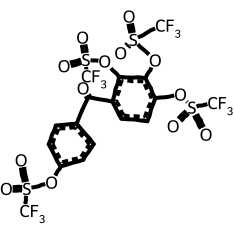 O=C(c1ccc(OS(=O)(=O)C(F)(F)F)cc1)c1ccc(OS(=O)(=O)C(F)(F)F)c(OS(=O)(=O)C(F)(F)F)c1OS(=O)(=O)C(F)(F)F